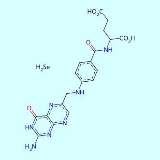 Nc1nc2ncc(CNc3ccc(C(=O)NC(CCC(=O)O)C(=O)O)cc3)nc2c(=O)[nH]1.[SeH2]